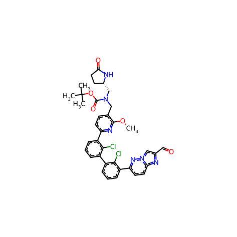 COc1nc(-c2cccc(-c3cccc(-c4ccc5nc(C=O)cn5n4)c3Cl)c2Cl)ccc1CN(C[C@@H]1CCC(=O)N1)C(=O)OC(C)(C)C